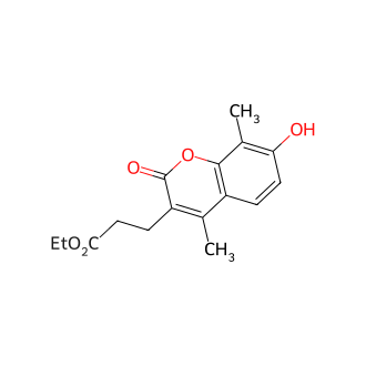 CCOC(=O)CCc1c(C)c2ccc(O)c(C)c2oc1=O